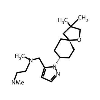 CNCCN(C)Cc1ccnn1[C@H]1CC[C@@]2(CC1)CC(C)(C)CO2